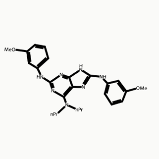 CCCN(CCC)c1nc(Nc2cccc(OC)c2)nc2[nH]c(Nc3cccc(OC)c3)nc12